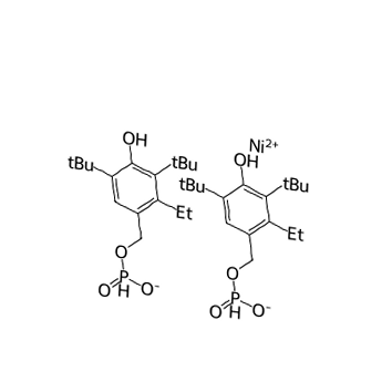 CCc1c(CO[PH](=O)[O-])cc(C(C)(C)C)c(O)c1C(C)(C)C.CCc1c(CO[PH](=O)[O-])cc(C(C)(C)C)c(O)c1C(C)(C)C.[Ni+2]